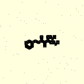 O=C(CCc1cccnc1)NC(C(=O)O)C(=O)O